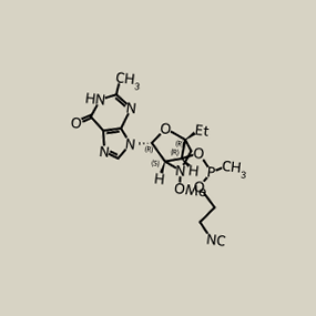 [C-]#[N+]CCOP(C)O[C@@H]1[C@H]2[C@H](n3cnc4c(=O)[nH]c(C)nc43)O[C@]1(CC)CN2OC